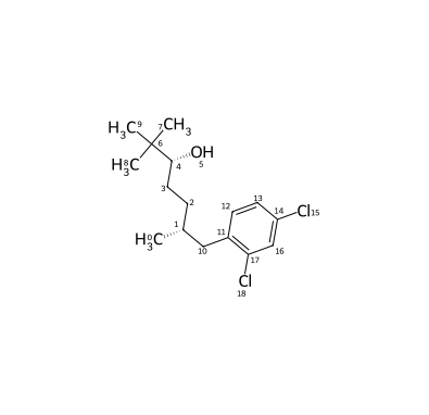 C[C@H](CC[C@@H](O)C(C)(C)C)Cc1ccc(Cl)cc1Cl